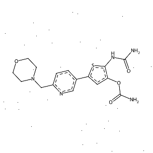 NC(=O)Nc1sc(-c2ccc(CN3CCOCC3)nc2)cc1OC(N)=O